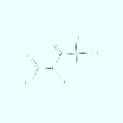 CC(=O)N(Br)C(=O)C(C)(C)C